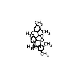 Cc1cc(C)c(C(=O)c2cccc([PH](=O)O)c2C(=O)c2c(C)cc(C)cc2C)c(C)c1